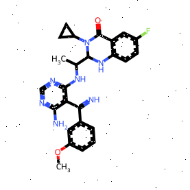 COc1cccc(C(=N)c2c(N)ncnc2NC(C)C2Nc3ccc(F)cc3C(=O)N2C2CC2)c1